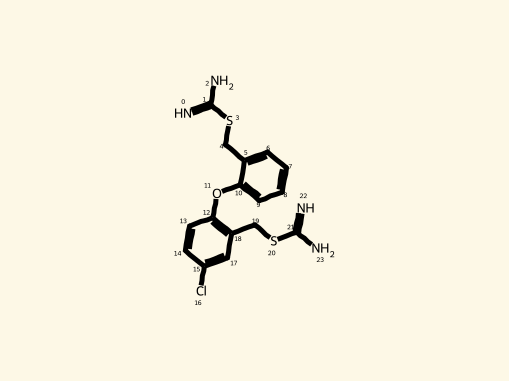 N=C(N)SCc1ccccc1Oc1ccc(Cl)cc1CSC(=N)N